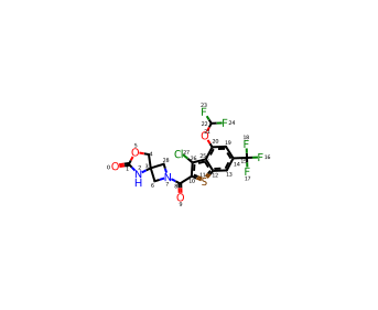 O=C1NC2(CO1)CN(C(=O)c1sc3cc(C(F)(F)F)cc(OC(F)F)c3c1Cl)C2